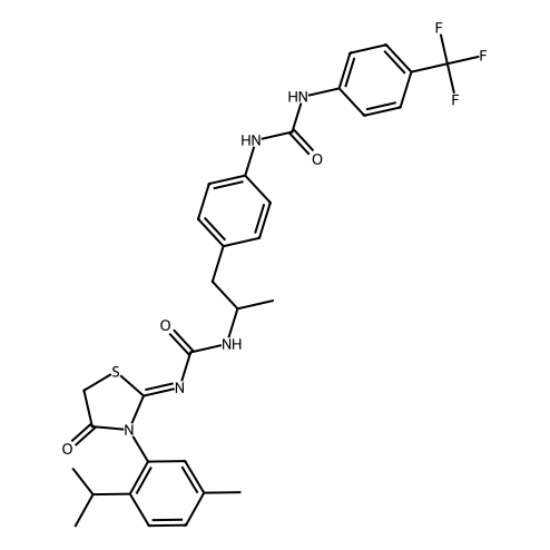 Cc1ccc(C(C)C)c(N2C(=O)CSC2=NC(=O)NC(C)Cc2ccc(NC(=O)Nc3ccc(C(F)(F)F)cc3)cc2)c1